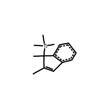 CC1=Cc2ccccc2[C]1(C)[Ti]([CH3])([CH3])[CH3]